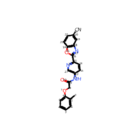 Cc1ccccc1OCC(=O)Nc1ccc(-c2nc3cc(C#N)ccc3o2)nc1